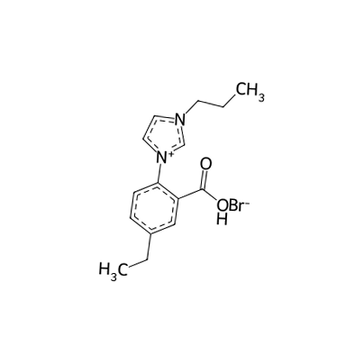 CCCn1cc[n+](-c2ccc(CC)cc2C(=O)O)c1.[Br-]